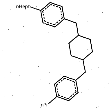 CCCCCCCc1ccc(CC2CCC(Cc3ccc(CCC)cc3)CC2)cc1